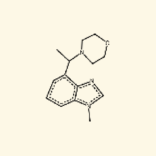 CC(c1cccc2c1ncn2C)N1CCOCC1